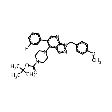 COc1ccc(Cn2ncc3c(N4CCN(C(=O)OC(C)(C)C)CC4)c(-c4cccc(F)c4)cnc32)cc1